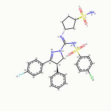 NS(=O)(=O)[C@@H]1CC[C@@H](/N=C(\NS(=O)(=O)c2ccc(Cl)cc2)N2C[C@@H](c3ccccc3)C(c3ccc(F)cc3)=N2)C1